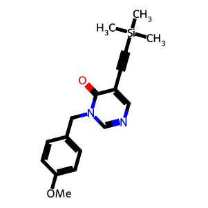 COc1ccc(Cn2cncc(C#C[Si](C)(C)C)c2=O)cc1